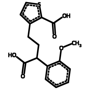 COc1ccccc1C(CCc1ccsc1C(=O)O)C(=O)O